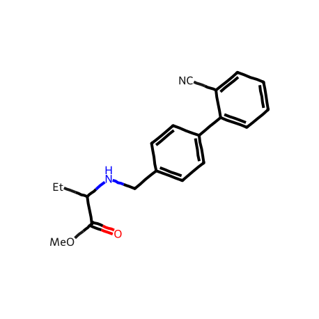 CCC(NCc1ccc(-c2ccccc2C#N)cc1)C(=O)OC